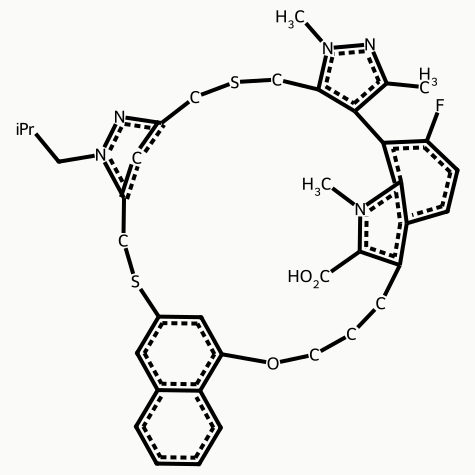 Cc1nn(C)c2c1-c1c(F)ccc3c(c(C(=O)O)n(C)c13)CCCOc1cc(cc3ccccc13)SCc1cc(nn1CC(C)C)CSC2